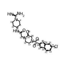 N=C(N)N1CCC(NC(=O)CN2CCN(S(=O)(=O)c3cc4ccc(Cl)cc4s3)CC2=O)CC1